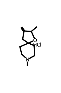 C=C1CC2(CCN(C)CC2)OC1C.Cl